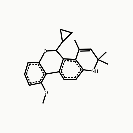 COc1cccc2c1-c1ccc3c(c1C(C1CC1)O2)C(C)=CC(C)(C)N3